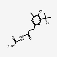 CCCCCCCC(=O)NNC(=O)CCc1cc(C)c(O)c(C(C)(C)C(C)C)c1